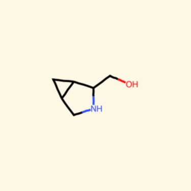 OCC1NCC2CC21